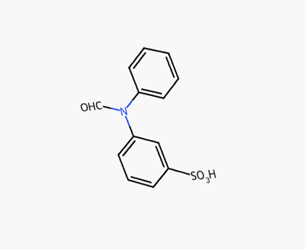 O=CN(c1ccccc1)c1cccc(S(=O)(=O)O)c1